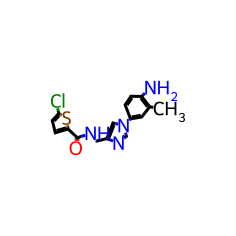 Cc1cc(-n2cnc(CNC(=O)c3ccc(Cl)s3)c2)ccc1N